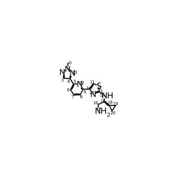 Cn1ncc(-c2cccc(-c3csc(NC(CN)=C4CC4)n3)n2)n1